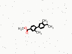 CCc1ccc(-c2ccc(C(=O)OC)cc2C)cc1C